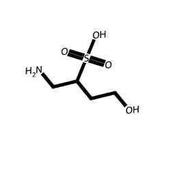 NCC(CCO)S(=O)(=O)O